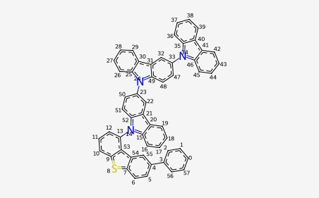 c1ccc(-c2ccc3sc4cccc(-n5c6ccccc6c6cc(-n7c8ccccc8c8cc(-n9c%10ccccc%10c%10ccccc%109)ccc87)ccc65)c4c3c2)cc1